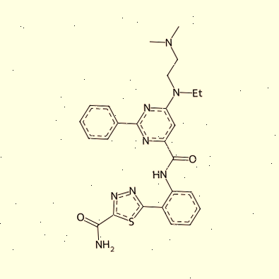 CCN(CCN(C)C)c1cc(C(=O)Nc2ccccc2-c2nnc(C(N)=O)s2)nc(-c2ccccc2)n1